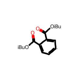 CC(C)COC(=O)c1c[c]ccc1C(=O)OCC(C)C